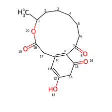 CC1CCCCCC(=O)C2=C(C=C(O)CC2=O)CC(=O)O1